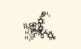 CC[C@H](C)[C@@H](CN(C(=O)C1CC1c1ccc(F)cn1)c1ccc(-c2ccc(COC)cc2)cc1)NC(=O)OC(C)(C)C